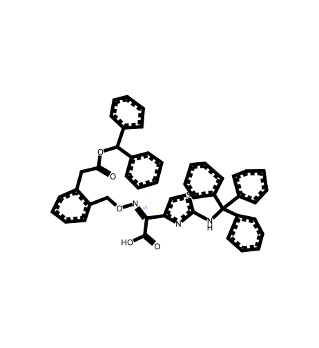 O=C(Cc1ccccc1CO/N=C(\C(=O)O)c1csc(NC(c2ccccc2)(c2ccccc2)c2ccccc2)n1)OC(c1ccccc1)c1ccccc1